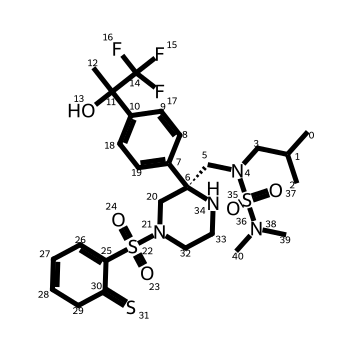 CC(C)CN(C[C@@]1(c2ccc(C(C)(O)C(F)(F)F)cc2)CN(S(=O)(=O)C2=CC=CCC2=S)CCN1)S(=O)(=O)N(C)C